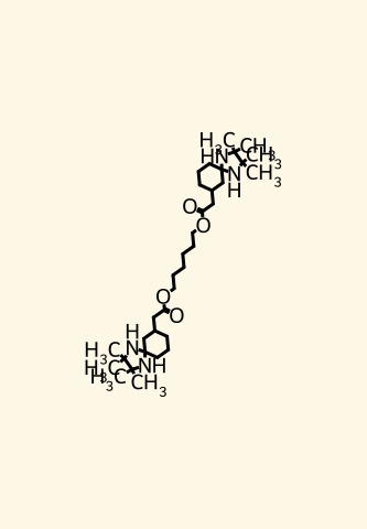 CC1(C)NC2(CCCC(CC(=O)OCCCCCCOC(=O)CC3CCCC4(C3)NC(C)(C)C(C)(C)N4)C2)NC1(C)C